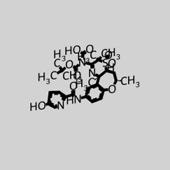 C[C@H]1C[C@@H]2[C@](C)(N=C(N(C(=O)O)C(=O)OC(C)(C)C)C(C)(C)S2(=O)=O)c2cc(NC(=O)c3ccc(O)cn3)ccc2O1